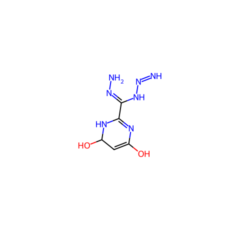 N=NNC(=NN)C1=NC(O)=CC(O)N1